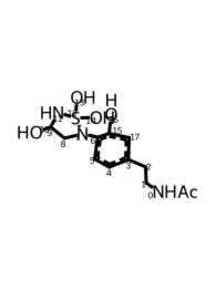 CC(=O)NCCc1ccc(N2CC(O)NS2(O)O)c(O)c1